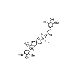 CC(C)(C)c1cc(CCC(=O)OCC(C)(C)C2OCC3(CO2)COC(C(C)(C)Cc2cc(C(C)(C)C)c(O)c(C(C)(C)C)c2)OC3)cc(C(C)(C)C)c1O